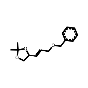 CC1(C)OC[C@H](/C=C/COCc2ccccc2)O1